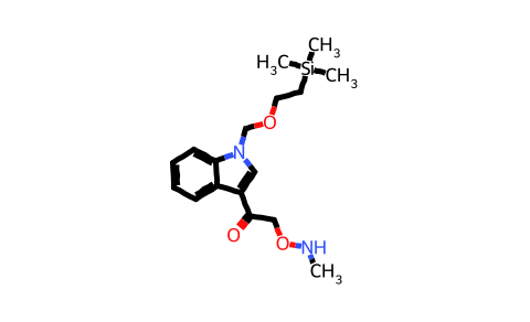 CNOCC(=O)c1cn(COCC[Si](C)(C)C)c2ccccc12